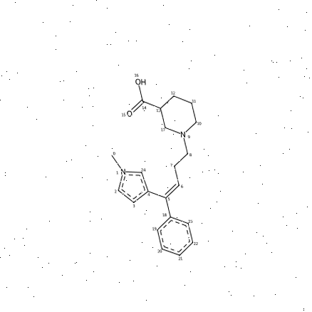 Cn1ccc(C(=CCCN2CCCC(C(=O)O)C2)c2ccccc2)c1